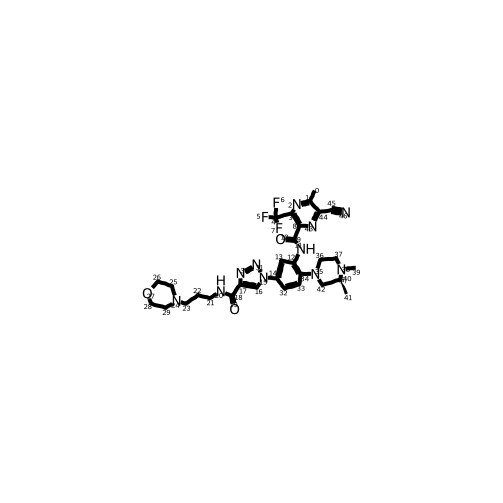 Cc1nc(C(F)(F)F)c(C(=O)Nc2cc(-n3cc(C(=O)NCCCN4CCOCC4)nn3)ccc2N2CCN(C)[C@@H](C)C2)nc1C#N